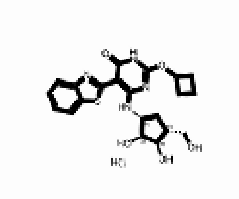 Cl.O=c1[nH]c(OC2CCC2)nc(N[C@@H]2C[C@H](CO)[C@@H](O)[C@H]2O)c1-c1nc2ccccc2s1